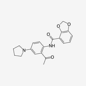 CC(=O)c1cc(N2CCCC2)ccc1NC(=O)c1cccc2c1OCO2